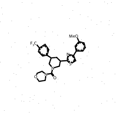 COc1cccc(-c2csc(C3CC(c4ccc(C(F)(F)F)cc4)CN(C(=O)N4CCOCC4)C3)n2)c1